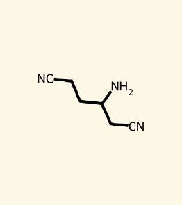 N#CCCC(N)CC#N